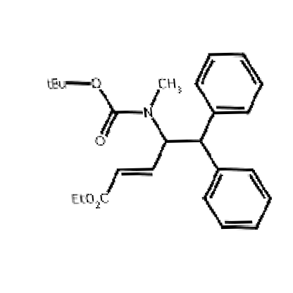 CCOC(=O)C=CC(C(c1ccccc1)c1ccccc1)N(C)C(=O)OC(C)(C)C